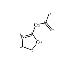 C=C(C)OC1=NCCO1